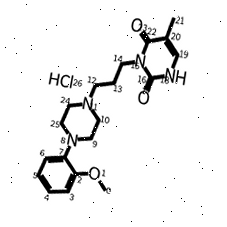 COc1ccccc1N1CCN(CCCn2c(=O)[nH]cc(C)c2=O)CC1.Cl